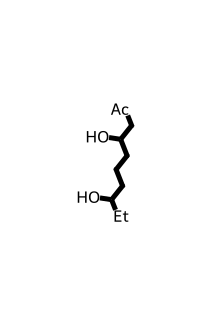 CCC(O)CCCC(O)CC(C)=O